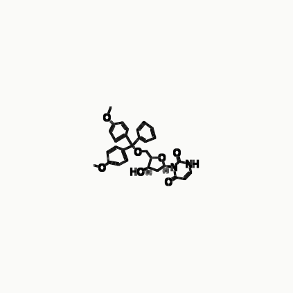 COc1ccc(C(OCC2O[C@@H](n3c(=O)cc[nH]c3=O)C[C@H]2O)(c2ccccc2)c2ccc(OC)cc2)cc1